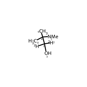 [2H]C([2H])(O)C(C)(C)NC